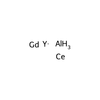 [AlH3].[Ce].[Gd].[Y]